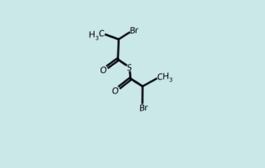 CC(Br)C(=O)SC(=O)C(C)Br